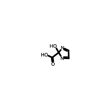 O=C(O)C1(O)N=CC=N1